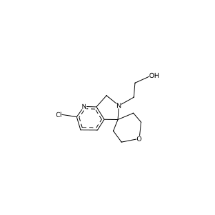 OCCN1Cc2nc(Cl)ccc2C12CCOCC2